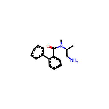 CC(CN)N(C)C(=O)c1ccccc1-c1ccccc1